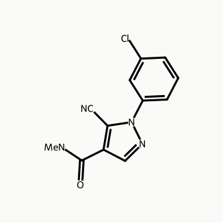 CNC(=O)c1cnn(-c2cccc(Cl)c2)c1C#N